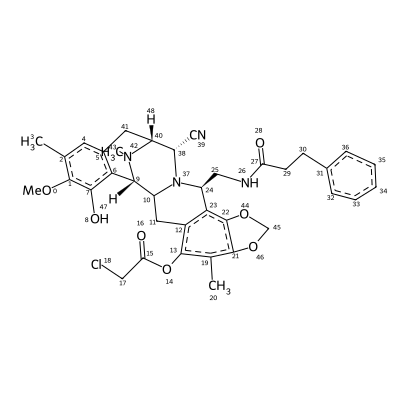 COc1c(C)cc2c(c1O)[C@H]1C3Cc4c(OC(=O)CCl)c(C)c5c(c4[C@H](CNC(=O)CCc4ccccc4)N3[C@@H](C#N)[C@@H](C2)N1C)OCO5